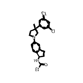 CCC(=O)NC1CCc2cc(N3CCC(C)(c4cc(Cl)cc(Cl)c4)C3)ccc21